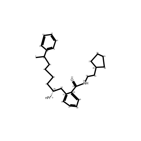 CCC[C@H](CCCCC(C)c1ccccc1)Cc1ccccc1C(=O)NCCC1CCCC1